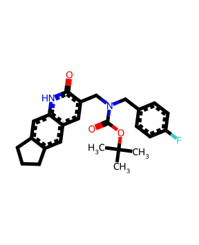 CC(C)(C)OC(=O)N(Cc1ccc(F)cc1)Cc1cc2cc3c(cc2[nH]c1=O)CCC3